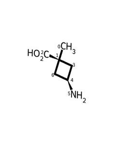 C[C@]1(C(=O)O)C[C@@H](N)C1